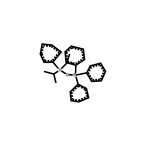 C[CH](C)[Ti]([O][Ti]([c]1ccccc1)([c]1ccccc1)[c]1ccccc1)([c]1ccccc1)[CH](C)C